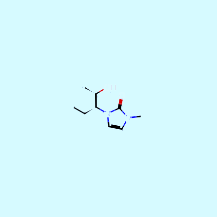 CC[C@@H]([C@@H](C)O)n1ccn(C)c1=O